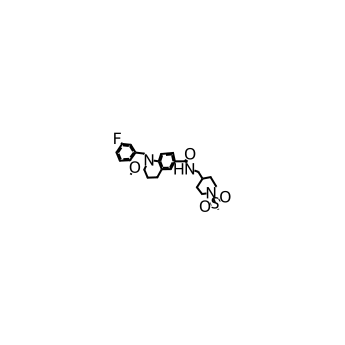 COc1ccc(F)cc1CN1CCCc2cc(C(=O)NCC3CCN(S(C)(=O)=O)CC3)ccc21